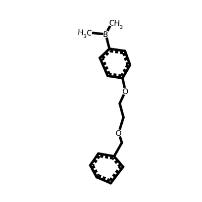 CB(C)c1ccc(OCCOCc2ccccc2)cc1